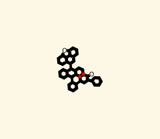 c1ccc(-c2c3ccccc3c(-c3cc4cccc5oc6cccc3c6c45)c3ccccc23)c(-c2ccc3oc4ccccc4c3c2)c1